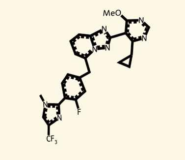 COc1ncnc(C2CC2)c1-c1nc2cccc(Cc3ccc(-c4nc(C(F)(F)F)cn4C)c(F)c3)n2n1